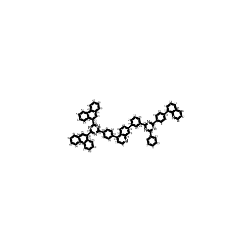 c1ccc(-c2nc(-c3ccc(-c4cccc5cccnc45)cc3)nc(-c3cccc(-c4ccc5c(-c6ccc(-c7nc(-c8cc9ccccc9c9ccccc89)nc(-c8cc9ccccc9c9ccccc89)n7)cc6)ccnc5c4)c3)n2)cc1